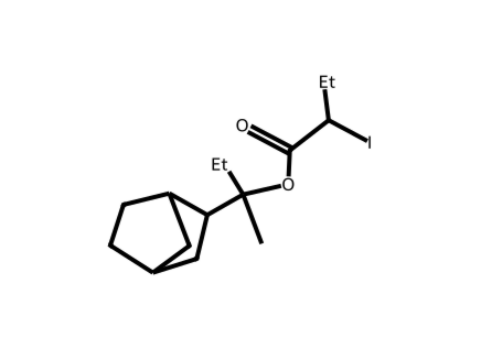 CCC(I)C(=O)OC(C)(CC)C1CC2CCC1C2